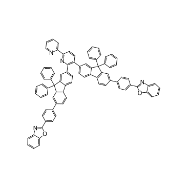 c1ccc(C2(c3ccccc3)c3cc(-c4ccc(-c5nc6ccccc6o5)cc4)ccc3-c3ccc(-c4ccc(-c5ccccn5)nc4-c4ccc5c(c4)C(c4ccccc4)(c4ccccc4)c4cc(-c6ccc(-c7nc8ccccc8o7)cc6)ccc4-5)cc32)cc1